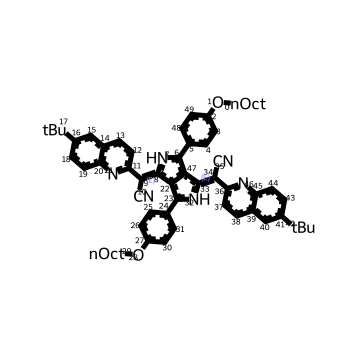 CCCCCCCCOc1ccc(-c2[nH]/c(=C(/C#N)c3ccc4cc(C(C)(C)C)ccc4n3)c3c(-c4ccc(OCCCCCCCC)cc4)[nH]/c(=C(/C#N)c4ccc5cc(C(C)(C)C)ccc5n4)c23)cc1